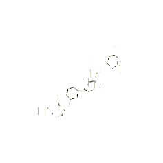 C[C@H]1CNCCN1Cc1cc(-c2ccnc(NCCc3cc(F)cc(F)c3)n2)ccc1F